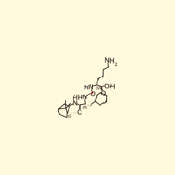 CC1(C)C2CC[C@]1(C)C(NC(=O)[C@@H](CC1CCCCC1)NC(=O)N[C@@H](CCCCN)C(=O)O)C2